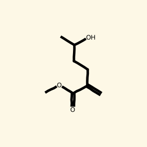 C=C(CCC(C)O)C(=O)OC